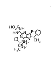 CC(c1ccccc1F)c1nc2nc(C(=N)NC(=O)O)nc(N[C@H](C)C3CCC3)c2n1C[C@H]1CC[C@H](C)CC1